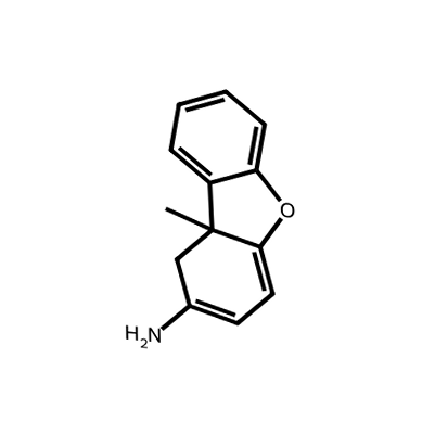 CC12CC(N)=CC=C1Oc1ccccc12